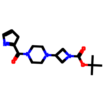 CC(C)(C)OC(=O)N1CC(N2CCN(C(=O)C3=NC=CC3)CC2)C1